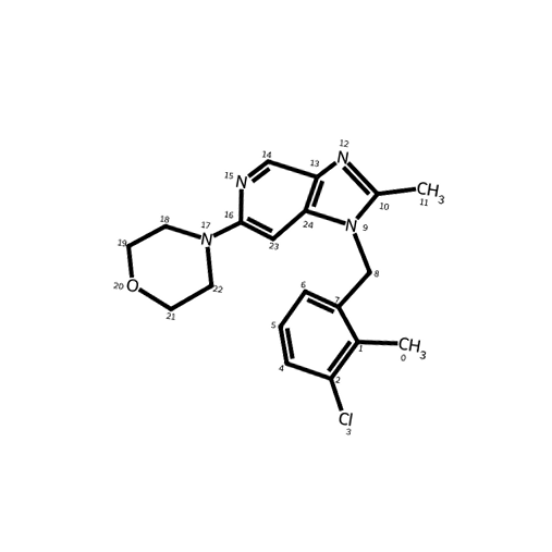 Cc1c(Cl)cccc1Cn1c(C)nc2cnc(N3CCOCC3)cc21